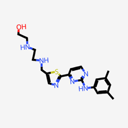 Cc1cc(C)cc(Nc2nccc(-c3ncc(CNCCNCCO)s3)n2)c1